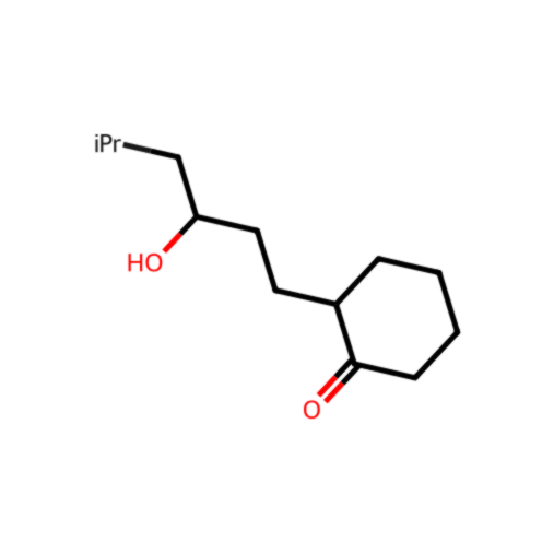 CC(C)CC(O)CCC1CCCCC1=O